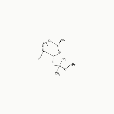 C=C(F)[C@@H](C[Si](C)(C)OC(C)C)N[S@@+]([O-])C(C)(C)C